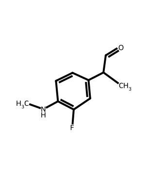 CNc1ccc(C(C)C=O)cc1F